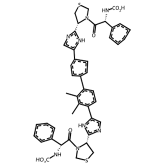 Cc1c(-c2ccc(-c3cnc([C@@H]4CSCN4C(=O)[C@H](NC(=O)O)c4ccccc4)[nH]3)cc2)ccc(-c2cnc([C@@H]3CSCN3C(=O)[C@H](NC(=O)O)c3ccccc3)[nH]2)c1C